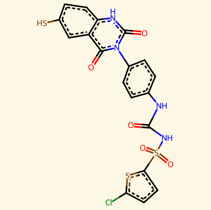 O=C(Nc1ccc(-n2c(=O)[nH]c3ccc(S)cc3c2=O)cc1)NS(=O)(=O)c1ccc(Cl)s1